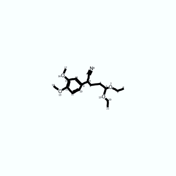 CCOC(CCC(C#N)c1ccc(OC)c(OC)c1)OCC